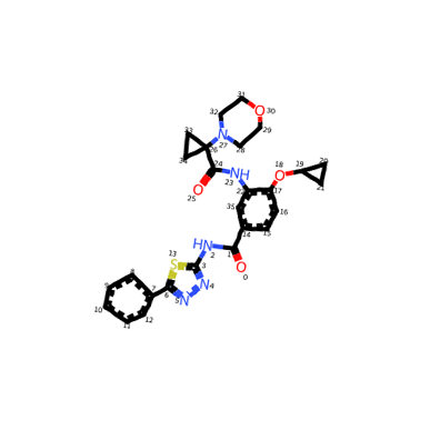 O=C(Nc1nnc(-c2ccccc2)s1)c1ccc(OC2CC2)c(NC(=O)C2(N3CCOCC3)CC2)c1